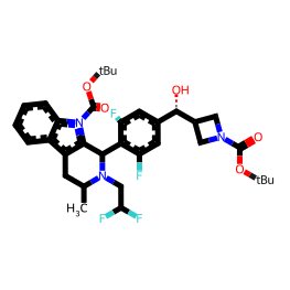 CC1Cc2c(n(C(=O)OC(C)(C)C)c3ccccc23)C(c2c(F)cc([C@H](O)C3CN(C(=O)OC(C)(C)C)C3)cc2F)N1CC(F)F